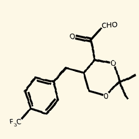 CC1(C)OCC(Cc2ccc(C(F)(F)F)cc2)C(C(=O)C=O)O1